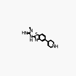 C=NC(=N)Nc1nc2cc(C3=CCNCC3)ccc2s1